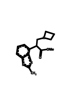 COC(=O)C(CN1CCC1)c1cccc2sc(C)nc12